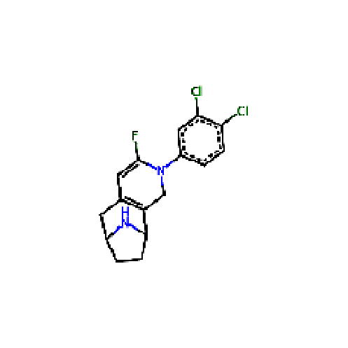 FC1=CC2=C(CN1c1ccc(Cl)c(Cl)c1)C1CCC(C2)N1